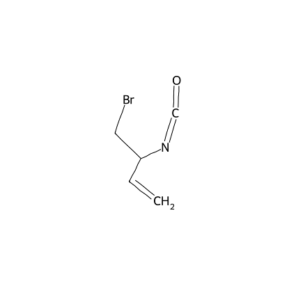 C=CC(CBr)N=C=O